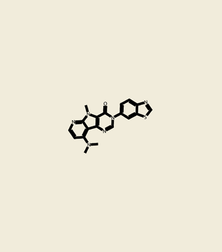 CN(C)c1ccnc2c1c1ncn(-c3ccc4ncsc4c3)c(=O)c1n2C